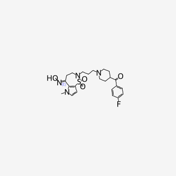 Cn1ccc2c1/C(=N/O)CCN(CCCN1CCC(C(=O)c3ccc(F)cc3)CC1)S2(=O)=O